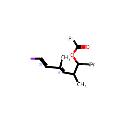 CC(/C=C/I)=C\C(C)C(OC(=O)C(C)C)C(C)C